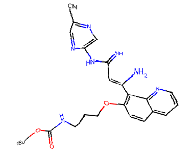 CC(C)(C)OC(=O)NCCCOc1ccc2cccnc2c1/C(N)=C/C(=N)Nc1cnc(C#N)cn1